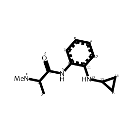 CNC(C)C(=O)Nc1ccccc1NC1CC1